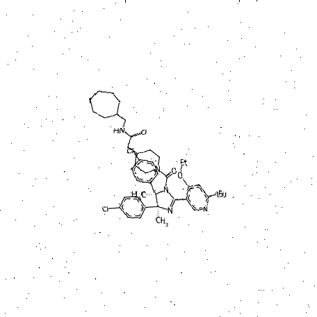 CCOc1cc(C(C)(C)C)ncc1C1=N[C@@](C)(c2ccc(Cl)cc2)[C@@](C)(c2ccc(Cl)cc2)N1C(=O)N1CCC(CC(=O)NCC2CCCCCC2)CC1